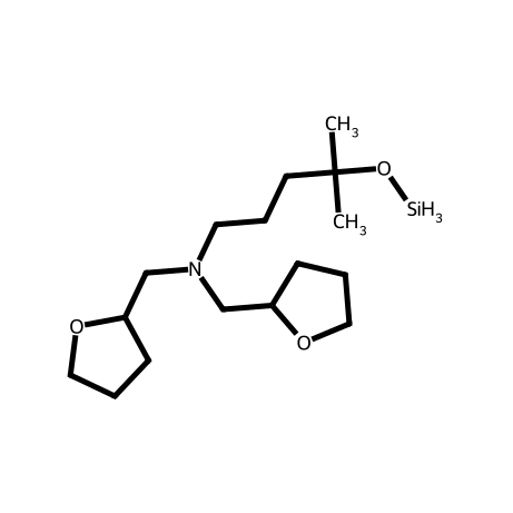 CC(C)(CCCN(CC1CCCO1)CC1CCCO1)O[SiH3]